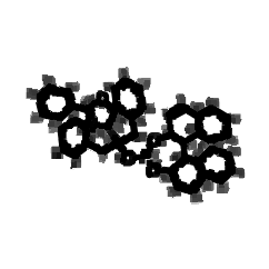 C1=CC2OP(OC(Cc3ccccc3)(Cc3ccccc3)[C@@H]3COC(c4ccccc4)=N3)Oc3ccc4ccccc4c3C2c2ccccc21